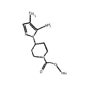 Cc1cnn(C2CCN(C(=O)OC(C)(C)C)CC2)c1N